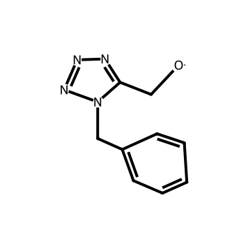 [O]Cc1nnnn1Cc1ccccc1